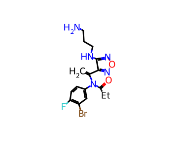 C=C(c1nonc1NCCCN)N(C(=O)CC)c1ccc(F)c(Br)c1